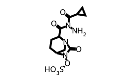 NN(C(=O)C1CC1)C(=O)C1CCC2CN1C(=O)N2OS(=O)(=O)O